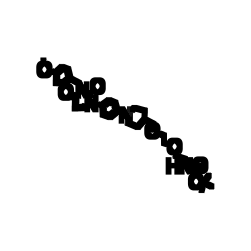 COc1ccc(Cn2c(=O)ccn(-c3ccc(N4CCC(COCCOCCNC(=O)OC(C)(C)C)CC4)cc3)c2=O)cc1